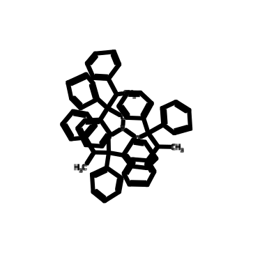 CC(c1ccccc1)C(OB(OC(c1ccccc1)(c1ccccc1)C(C)c1ccccc1)OC(c1ccccc1)(c1ccccc1)C(C)c1ccccc1)(c1ccccc1)c1ccccc1